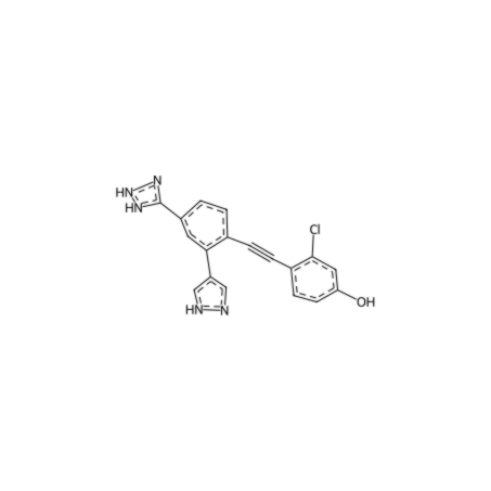 Oc1ccc(C#Cc2ccc(-c3n[nH][nH]3)cc2-c2cn[nH]c2)c(Cl)c1